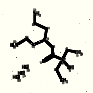 CC[N+](O)(CC)C(=O)CN(CCN)CCN.Cl.Cl.Cl